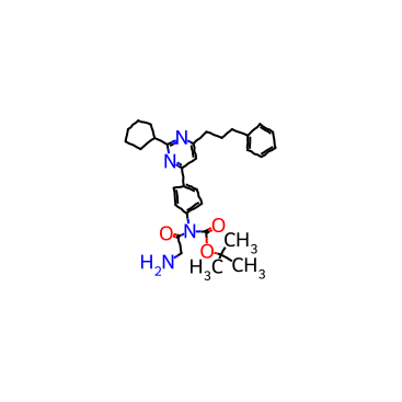 CC(C)(C)OC(=O)N(C(=O)CN)c1ccc(-c2cc(CCCc3ccccc3)nc(C3CCCCC3)n2)cc1